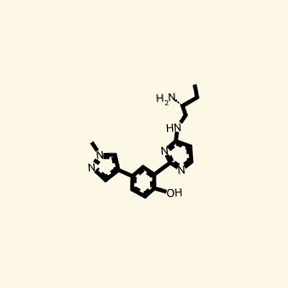 CC[C@@H](N)CNc1ccnc(-c2cc(-c3cnn(C)c3)ccc2O)n1